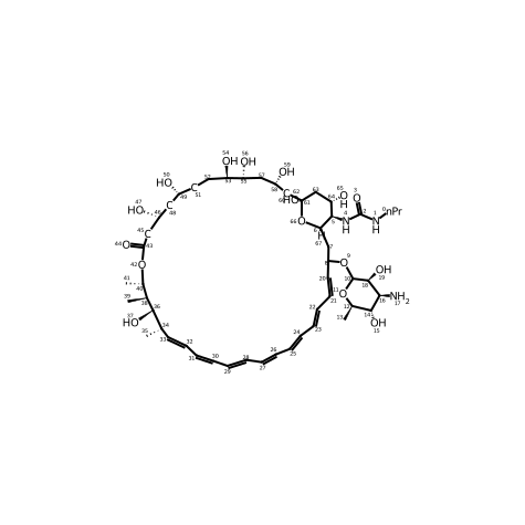 CCCNC(=O)N[C@H]1[C@@H]2CC(OC3O[C@H](C)[C@@H](O)[C@H](N)[C@@H]3O)/C=C/C=C/C=C/C=C/C=C/C=C/C=C/[C@H](C)[C@@H](O)[C@@H](C)[C@H](C)OC(=O)C[C@H](O)C[C@H](O)CC[C@@H](O)[C@H](O)C[C@H](O)C[C@](O)(C[C@@H]1O)O2